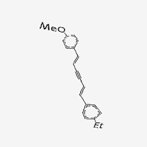 CCc1ccc(/C=C/C#C/C=C/c2ccc(OC)cc2)cc1